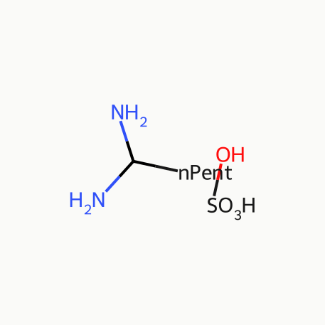 CCCCCC(N)N.O=S(=O)(O)O